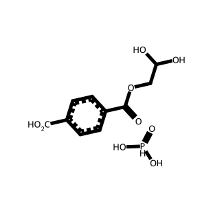 O=C(O)c1ccc(C(=O)OCC(O)O)cc1.O=[PH](O)O